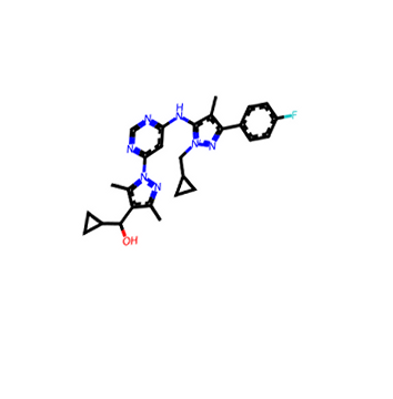 Cc1nn(-c2cc(Nc3c(C)c(-c4ccc(F)cc4)nn3CC3CC3)ncn2)c(C)c1C(O)C1CC1